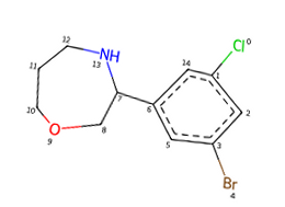 Clc1cc(Br)cc(C2COCCCN2)c1